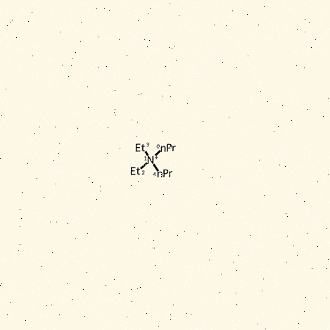 CCC[N+](CC)(CC)CCC